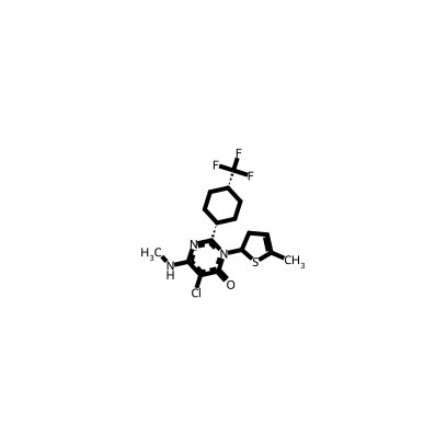 CNc1nc([C@H]2CC[C@@H](C(F)(F)F)CC2)n(C2CC=C(C)S2)c(=O)c1Cl